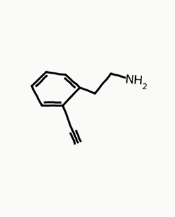 C#Cc1ccccc1CCN